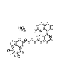 CCN1C(=O)C(C)(C)C(=O)N(C)c2cc(OCCCN(CCN3C(=O)CCc4ccccc43)Cc3ccncc3)ccc21.Cl.Cl